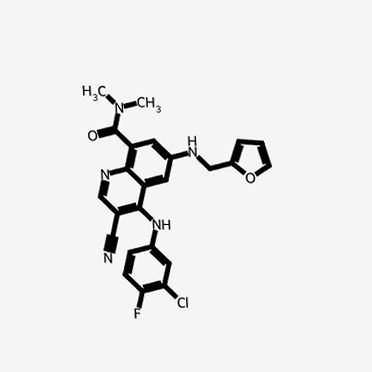 CN(C)C(=O)c1cc(NCc2ccco2)cc2c(Nc3ccc(F)c(Cl)c3)c(C#N)cnc12